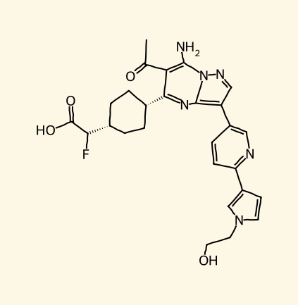 CC(=O)c1c(N)n2ncc(-c3ccc(-c4ccn(CCO)c4)nc3)c2nc1[C@H]1CC[C@@H](C(F)C(=O)O)CC1